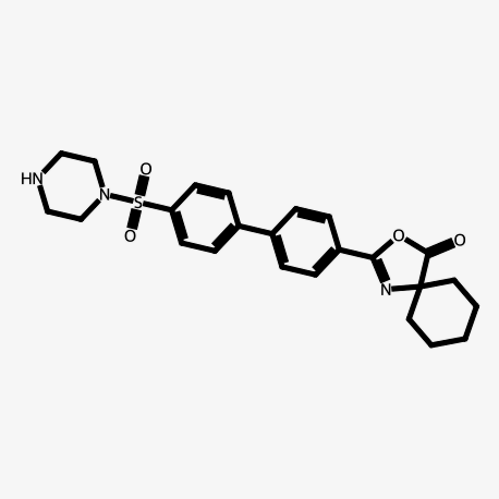 O=C1OC(c2ccc(-c3ccc(S(=O)(=O)N4CCNCC4)cc3)cc2)=NC12CCCCC2